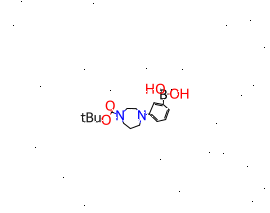 CC(C)(C)OC(=O)N1CCCN(c2cccc(B(O)O)c2)CC1